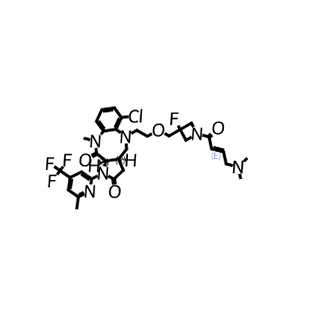 Cc1cc(C(F)(F)F)cc(N2C(=O)C[C@@H]3CN(CCOCC4(F)CN(C(=O)/C=C/CN(C)C)C4)c4c(Cl)cccc4N(C)C(=O)[C@H]32)n1